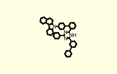 c1ccc(C2=NC(c3ccccc3-c3ccc(-n4c5ccccc5c5c6ccccc6ccc54)cc3)NC(c3cccc(-c4ccccc4)c3)=N2)cc1